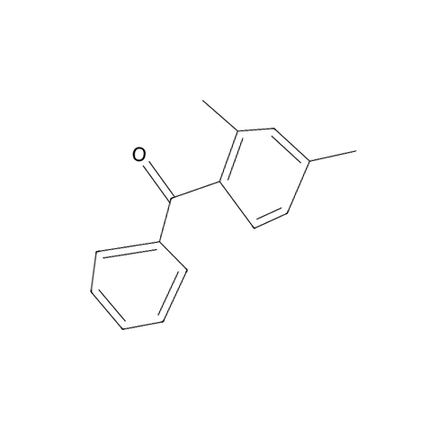 Cc1ccc(C(=O)c2ccccc2)c(C)c1